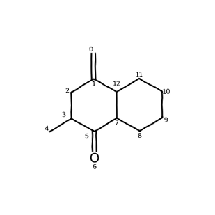 C=C1CC(C)C(=O)C2CCCCC12